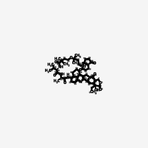 CC[C@@]1(O)C(=O)OCc2c1cc1n(c2=O)Cc2c-1nc1ccc(NC(=O)[C@H](C)NC(=O)[C@@H](NC(=O)C(C)(C)CCOC(C)(C)CCNC(=O)CCN3C(=O)C=CC3=O)C(C)C)c3c1c2CCC3